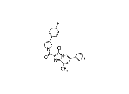 O=C(c1nc2c(C(F)(F)F)cc(-c3ccoc3)cn2c1Cl)N1CC=C(c2ccc(F)cc2)C1